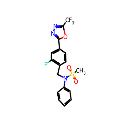 CS(=O)(=O)N(Cc1ccc(-c2nnc(C(F)(F)F)o2)cc1F)c1ccccc1